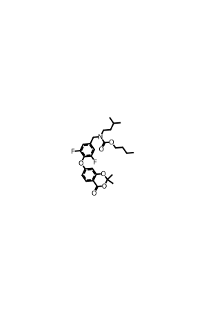 CCCCOC(=O)N(CCC(C)C)Cc1cc(F)c(Oc2ccc3c(c2)OC(C)(C)OC3=O)c(F)c1